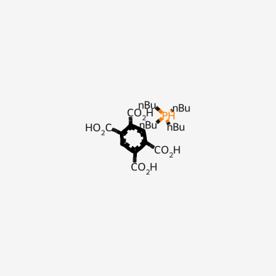 CCCC[PH](CCCC)(CCCC)CCCC.O=C(O)c1cc(C(=O)O)c(C(=O)O)cc1C(=O)O